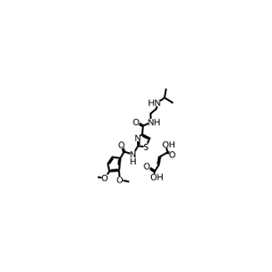 COc1ccc(C(=O)Nc2nc(C(=O)NCCNC(C)C)cs2)cc1OC.O=C(O)C=CC(=O)O